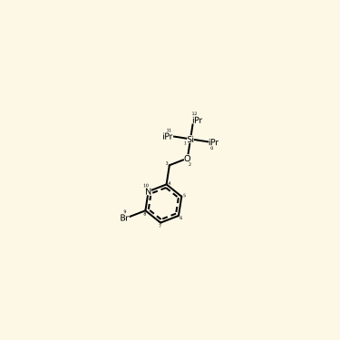 CC(C)[Si](OCc1cccc(Br)n1)(C(C)C)C(C)C